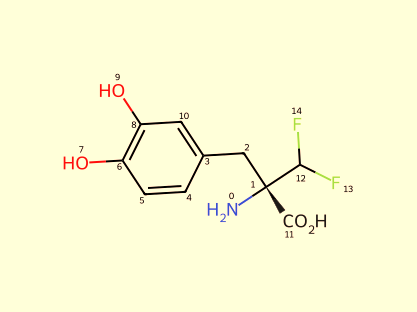 N[C@@](Cc1ccc(O)c(O)c1)(C(=O)O)C(F)F